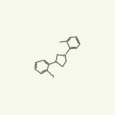 Cc1ccccc1N1CCN(c2ccccc2I)C1